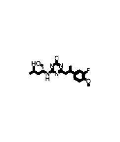 COc1ccc(C(C)Cc2nc(Cl)nc(N[C@@H](CO)CC(C)C)n2)cc1F